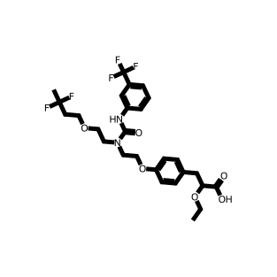 CCOC(Cc1ccc(OCCN(CCOCCC(C)(F)F)C(=O)Nc2cccc(C(F)(F)F)c2)cc1)C(=O)O